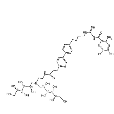 N=C(NCCCCc1ccc(-c2ccc(CCC(=O)NCCN(C[C@@H](O)[C@@H](O)[C@H](O)[C@H](O)CO)C[C@H](O)[C@@H](O)[C@H](O)[C@H](O)CO)cc2)cc1)NC(=O)c1nc(Cl)c(N)nc1N